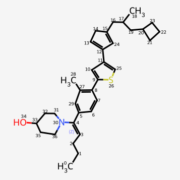 CCC/C=C(/c1ccc(-c2cc(C3=CCC(CC(C)CC4CCC4)=C3)cs2)c(C)c1)N1CCC(O)CC1